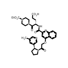 CCOC(=O)N1CCN(C(=O)[C@H](CCC(=O)O)NC(=O)c2cc(OCC(=O)N3CCC[C@H]3c3cncc(C)c3)c3ccccc3n2)CC1